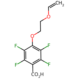 C=COCCOc1c(F)c(F)c(C(=O)O)c(F)c1F